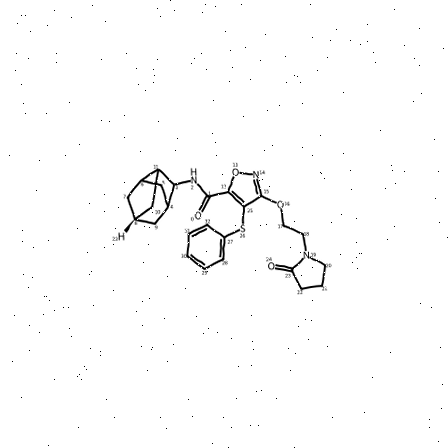 O=C(NC1C2CC3C[C@@H](C2)CC31)c1onc(OCCN2CCCC2=O)c1Sc1ccccc1